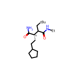 CCNC(=O)C(CC(C)(C)C)[C@H](CCC1CCCC1)C(N)=O